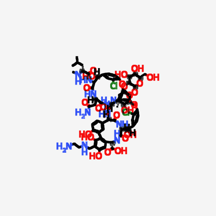 CN[C@H](CC(C)C)C(=O)NC1C(=O)N[C@@H](CC(N)=O)C(=O)N[C@H]2C(=O)N[C@H]3C(=O)N[C@H](C(=O)N[C@H](C(=O)O)c4cc(O)c(CNCCN)c(O)c4-c4cc3ccc4O)[C@H](O)c3ccc(c(Cl)c3)Oc3cc2cc(c3O[C@@H]2O[C@H](CO)[C@@H](O)[C@H](O)[C@H]2O[C@H]2C[C@](C)(N)[C@H](O)[C@H](C)O2)Oc2ccc(cc2Cl)[C@H]1O